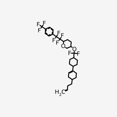 C=CCCC1CC=C(C2CCC(C(F)(F)OC3CCC(C(F)(F)C(F)(F)c4ccc(C(F)(F)F)cc4)OC3)CC2)CC1